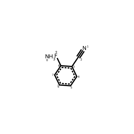 N.N#Cc1cc[c]cc1F